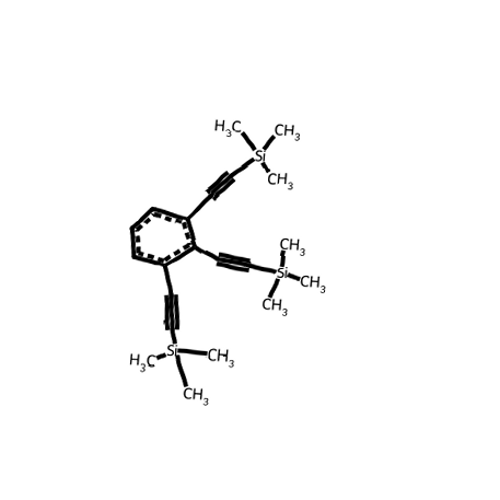 C[Si](C)(C)C#Cc1cccc(C#C[Si](C)(C)C)c1C#C[Si](C)(C)C